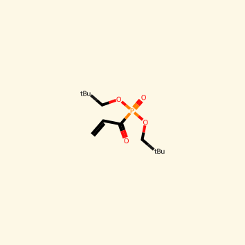 C=CC(=O)P(=O)(OCC(C)(C)C)OCC(C)(C)C